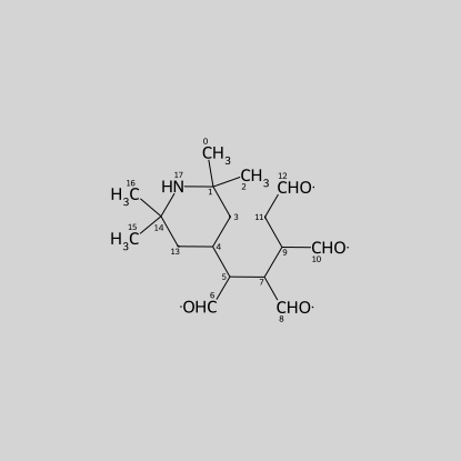 CC1(C)CC(C([C]=O)C([C]=O)C([C]=O)C[C]=O)CC(C)(C)N1